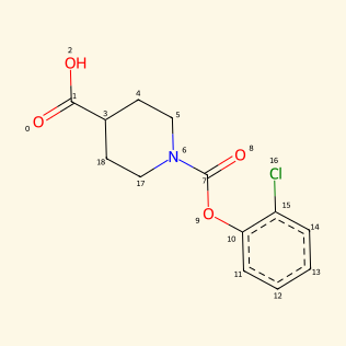 O=C(O)C1CCN(C(=O)Oc2ccccc2Cl)CC1